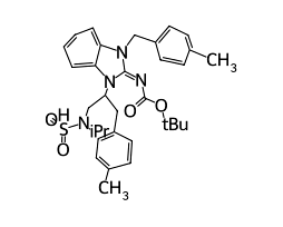 Cc1ccc(CC(CN(C(C)C)[SH](=O)=O)n2c(=NC(=O)OC(C)(C)C)n(Cc3ccc(C)cc3)c3ccccc32)cc1